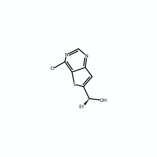 CC[C@H](O)c1cc2ncnc(Cl)c2s1